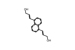 OCC=Cc1cccc2c(C=CCO)cccc12